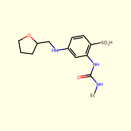 CCNC(=O)Nc1cc(NCC2CCCO2)ccc1S(=O)(=O)O